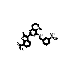 Cc1oc2c(C(N)=O)cccc2c1-c1nc2c(c(NCc3cccc(B(O)O)c3)n1)N(C)CCC2